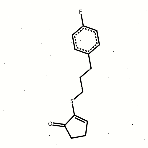 O=C1CCC=C1SCCCc1ccc(F)cc1